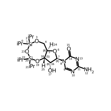 CC(C)[Si]1(C(C)C)OC[C@H]2O[C@@H](n3cnc(N)nc3=O)[C@H](O)[C@@H]2O[Si](C(C)C)(C(C)C)O1